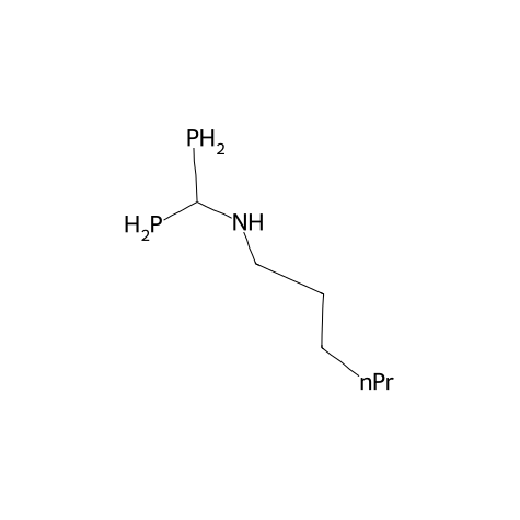 CCCCCCNC(P)P